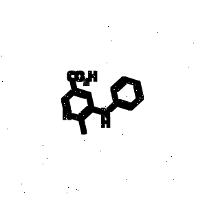 Cc1ncc(C(=O)O)cc1Nc1ccccc1